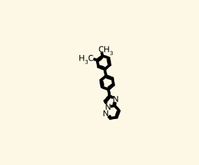 Cc1ccc(-c2ccc(-c3cn4ncccc4n3)cc2)cc1C